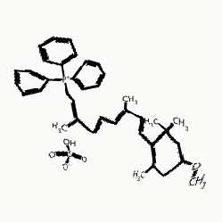 COC1CC(C)=C(C=CC(C)=CC=CC(C)=CC[P+](c2ccccc2)(c2ccccc2)c2ccccc2)C(C)(C)C1.O=S(=O)([O-])O